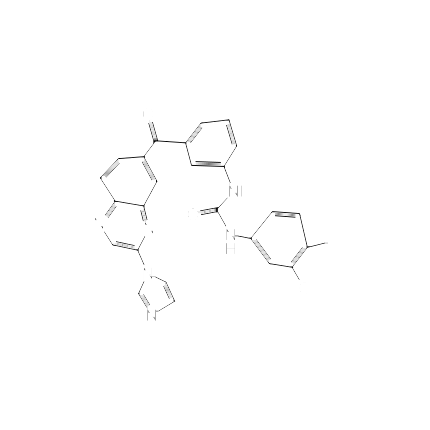 O=C(Nc1cccc(C(=O)c2ccc3ncc(-n4ccnc4)nc3c2)c1)Nc1ccc(F)c(Cl)c1